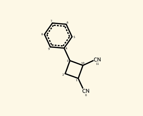 N#CC1CC(c2ccccc2)C1C#N